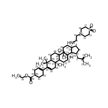 C=C(C)C[C@@H]1CC[C@]2(NCCN3CCS(=O)(=O)CC3)CC[C@]3(C)[C@H](CCC4[C@@]5(C)CC=C(C6=CC[C@H](C(=O)OCC)CC6)C(C)(C)C5CC[C@]43C)C12